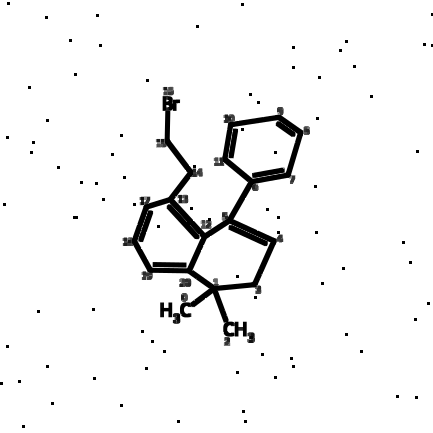 CC1(C)CC=C(c2ccccc2)c2c(CCBr)cccc21